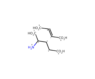 NC(CCC(=O)O)C(=O)O.O=C(O)C=CC(=O)O